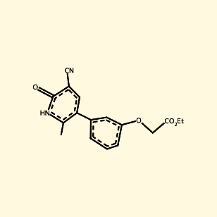 CCOC(=O)COc1cccc(-c2cc(C#N)c(=O)[nH]c2C)c1